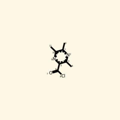 Cc1nc(C)c(C(=O)Cl)nc1C